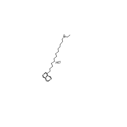 CCN(C)CCCCCCCCCCCCCCc1cccc2ccccc12.Cl